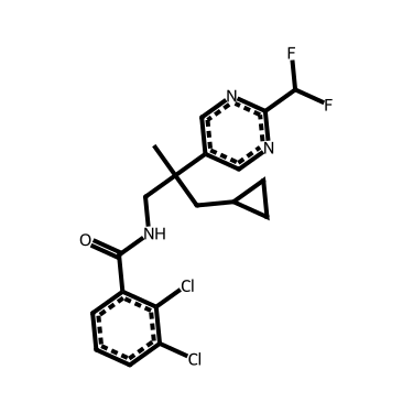 CC(CNC(=O)c1cccc(Cl)c1Cl)(CC1CC1)c1cnc(C(F)F)nc1